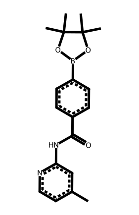 Cc1ccnc(NC(=O)c2ccc(B3OC(C)(C)C(C)(C)O3)cc2)c1